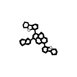 c1cc(-c2cc(-c3ccc4ccccc4c3)c3ccc4c(-c5cccc6c5oc5ccccc56)ccc5ccc2c3c54)c2c(c1)C1CCCCC1O2